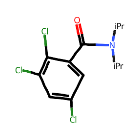 CC(C)N(C(=O)c1cc(Cl)cc(Cl)c1Cl)C(C)C